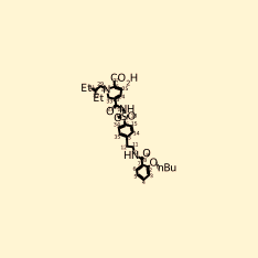 CCCCOc1ccccc1C(=O)NCCc1ccc(S(=O)(=O)NC(=O)C2=CC=C(C(=O)O)N(CC(CC)CC)C2)cc1